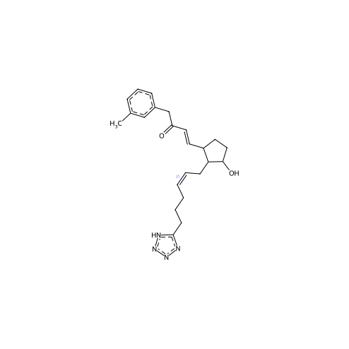 Cc1cccc(CC(=O)C=CC2CCC(O)C2C/C=C\CCCc2nnn[nH]2)c1